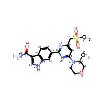 C[C@H]1COCCN1c1cc(CS(C)(=O)=O)nc(-c2ccc3c(C(N)=O)c[nH]c3c2)n1